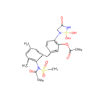 COC(=O)Oc1cc(Cc2cc(C)cc(C)c2N(C(=O)OC)S(C)(=O)=O)ccc1N1CC(=O)NS1(O)O